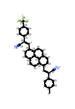 Cc1ccc(/C(C#N)=C/c2ccc3ccc4c(/C=C(\C#N)c5ccc(C(F)(F)F)cc5)ccc5ccc2c3c54)cc1